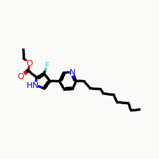 CCCCCCCCCc1ccc(-c2c[nH]c(C(=O)OCC)c2F)cn1